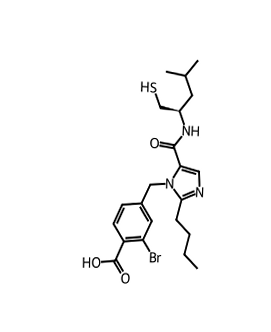 CCCCc1ncc(C(=O)N[C@@H](CS)CC(C)C)n1Cc1ccc(C(=O)O)c(Br)c1